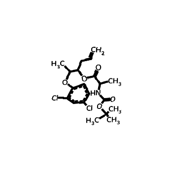 C=CCC(OC(=O)C(C)NC(=O)OC(C)(C)C)C(C)Oc1ccc(Cl)cc1Cl